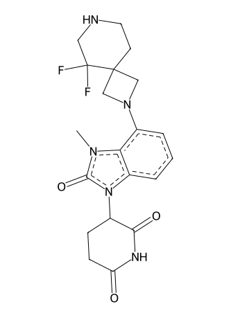 Cn1c(=O)n(C2CCC(=O)NC2=O)c2cccc(N3CC4(CCNCC4(F)F)C3)c21